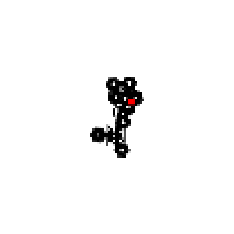 c1ccc(-c2nc(-c3ccccc3)nc(-c3ccc4c(c3)oc3c(-c5ccccc5-n5c6ccccc6c6cccc(-c7ccccc7)c65)cccc34)n2)cc1